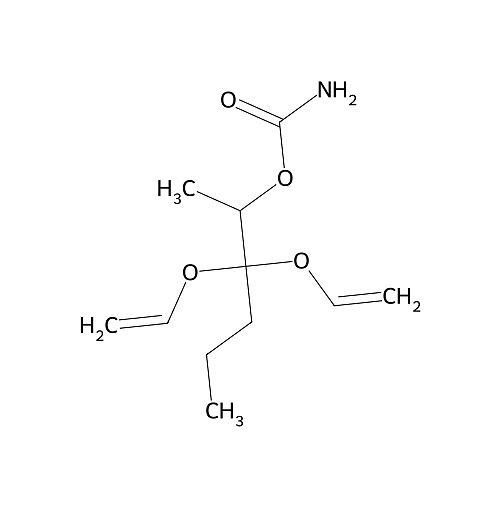 C=COC(CCC)(OC=C)C(C)OC(N)=O